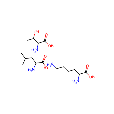 CC(C)CC(N)C(=O)O.CC(O)C(N)C(=O)O.NCCCCC(N)C(=O)O